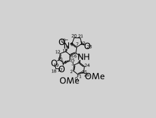 COc1ccc(Nc2c3c([n+]([O-])c4cc5c(cc24)OCO5)CCC3=O)cc1OC